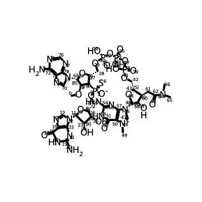 CO[C@@H]1[C@H](P([O-])(=S)OC[C@H]2O[C@@H](n3cnc4c(=O)[nH]c(N)nc43)[C@H](O)[C@@H]2O)[C@@H](COP(=O)(O)OP(=O)(O)OP(=O)(O)OC[C@H]2O[C@@H](n3c[n+](C)c4c(=O)[nH]c(N)nc43)[C@H](O)[C@@H]2CC(=O)N(C)C)O[C@H]1n1cnc2c(N)ncnc21